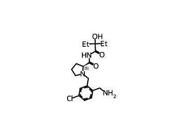 CCC(O)(CC)C(=O)NC(=O)[C@@H]1CCCN1Cc1cc(Cl)ccc1CN